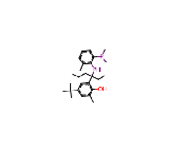 CCCC(CC)(Pc1c(C)cccc1P(C)C)c1cc(C(C)(C)C)cc(C)c1O